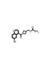 NC(=O)OCC1CN(C(=O)c2ccnc3ccc(Br)cc23)C1